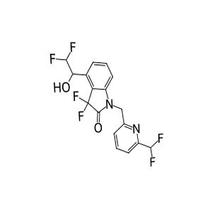 O=C1N(Cc2cccc(C(F)F)n2)c2cccc(C(O)C(F)F)c2C1(F)F